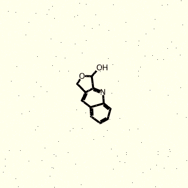 OC1OCc2cc3ccccc3nc21